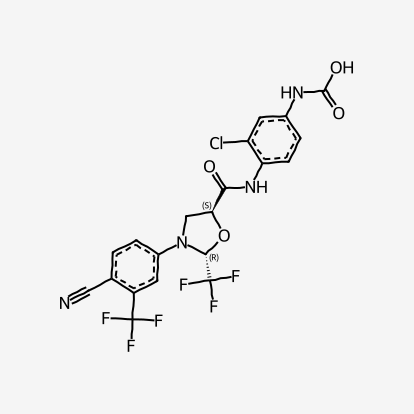 N#Cc1ccc(N2C[C@@H](C(=O)Nc3ccc(NC(=O)O)cc3Cl)O[C@@H]2C(F)(F)F)cc1C(F)(F)F